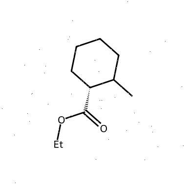 CCOC(=O)[C@@H]1CCCCC1C